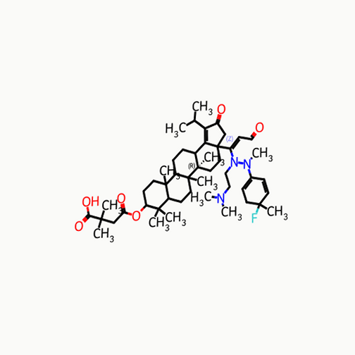 CC(C)C1=C2C3CCC4C5(C)CCC(OC(=O)CC(C)(C)C(=O)O)C(C)(C)C5CCC4(C)[C@]3(C)CCC2(/C(=C/C=O)N(CCN(C)C)N(C)C2=CCC(C)(F)C=C2)CC1=O